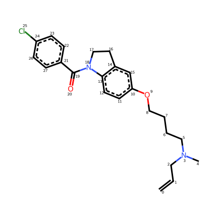 C=CCN(C)CCCCOc1ccc2c(c1)CCN2C(=O)c1ccc(Cl)cc1